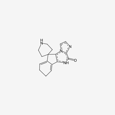 O=c1[nH]c2c(n3ccnc13)C1(CCNCC1)C1=CCCC=C12